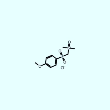 COc1ccc(S(=O)(=O)C[S+](C)(C)=O)cc1.[Cl-]